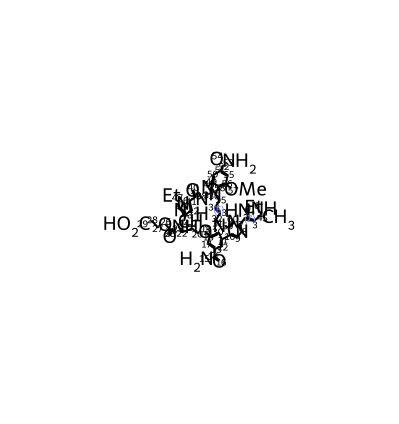 CCN/C(=C\C(C)=N)c1ncc2c3cc(C(N)=O)cc(OCCCNC(=O)OCCC(=O)O)c3n(C/C=C/Cn3c(NC(=O)c4cc(C)nn4CC)nc4cc(C(N)=O)cc(OC)c43)c2n1